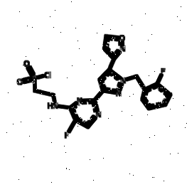 O=S(=O)(Cl)CCNc1nc(-c2cc(-c3ccon3)n(Cc3ccccc3F)n2)ncc1F